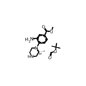 CC(C)(C)OC=O.COC(=O)c1ccc(N2CCNC[C@H]2C)c(N)c1